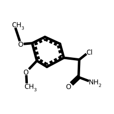 COc1ccc(C(Cl)C(N)=O)cc1OC